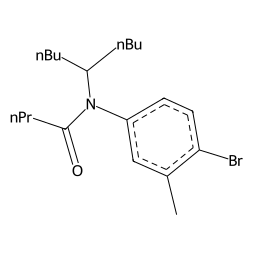 CCCCC(CCCC)N(C(=O)CCC)c1ccc(Br)c(C)c1